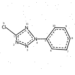 Clc1nnn(-c2ccccc2)n1